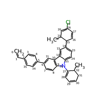 C=Cc1ccc(-c2ccc3c(c2)c2cc(C4C=CC(Cl)=CC4C)ccc2n3C2=CC=CCC2C)cc1